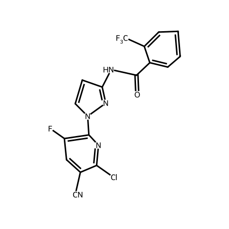 N#Cc1cc(F)c(-n2ccc(NC(=O)c3ccccc3C(F)(F)F)n2)nc1Cl